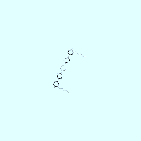 CCCCCCc1cc(-c2cnc(N3CCN(c4ncc(-c5ccc(C)c(CCCCCC)c5)cn4)CC3)nc2)ccc1C